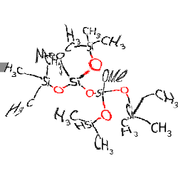 CO[Si](O[SiH](C)C)(O[Si](C)(C)C)O[Si](OC)(O[Si](C)(C)C)O[Si](C)(C)C